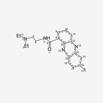 CCN(CC)CCNC(=O)c1cccc2nc3cc(I)ccc3nc12